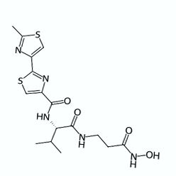 Cc1nc(-c2nc(C(=O)N[C@H](C(=O)NCCC(=O)NO)C(C)C)cs2)cs1